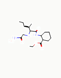 CC/C=C(\C)C(NCC(=O)NO)C(=O)NC1CCCCC1C(=O)OCC